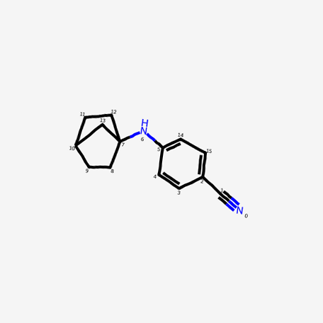 N#Cc1ccc(NC23CCC(CC2)C3)cc1